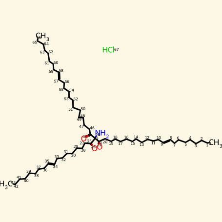 CCCCCCCCC=CCCCCCCCCCCCC(=O)C(N)(C(=O)CCCCCCCC=CCCCCCCCC)C(=O)CCCCCCCCCCCC=CCCCCCCCC.Cl